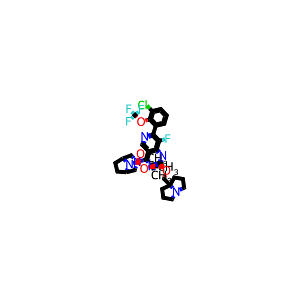 CC(C)(C)OC(=O)N1C2CCC1CN(c1nc(OCC34CCCN3CCC4)nc3c(F)c(-c4cccc(Cl)c4OC(F)(F)F)ncc13)C2